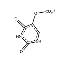 O=C(O)Oc1c[nH]c(=O)[nH]c1=O